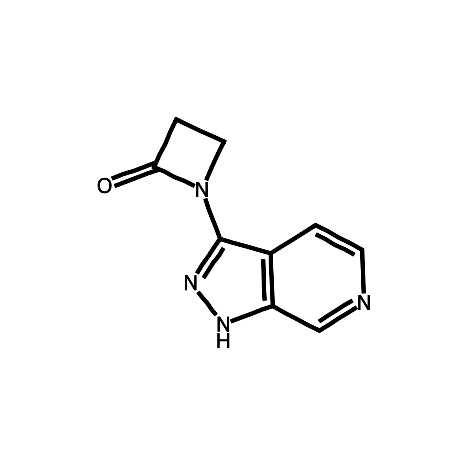 O=C1CCN1c1n[nH]c2cnccc12